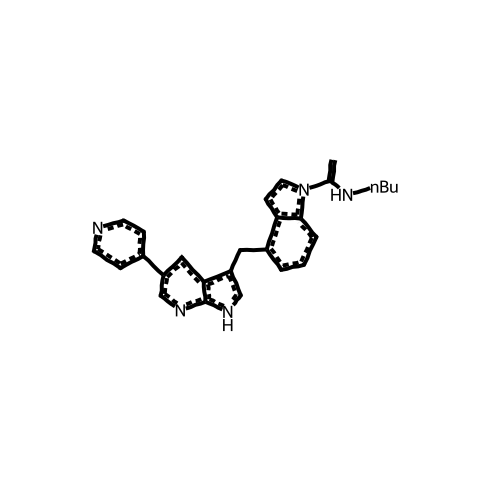 C=C(NCCCC)n1ccc2c(Cc3c[nH]c4ncc(-c5ccncc5)cc34)cccc21